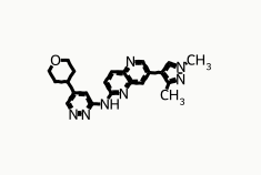 Cc1nn(C)cc1-c1cnc2ccc(Nc3cc(C4CCOCC4)cnn3)nc2c1